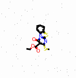 CCOC(=O)c1c(SC)nc2sc3ccccc3n2c1=O